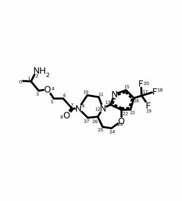 CC(N)COCCC(=O)N1CCN2c3ncc(C(F)(F)F)cc3OCCC2C1